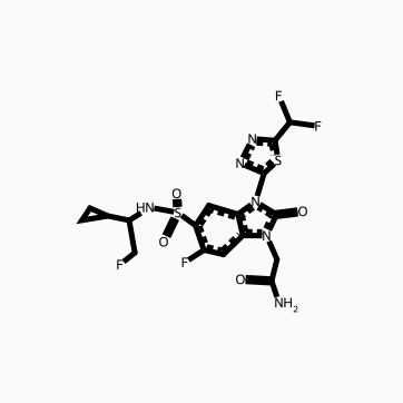 NC(=O)Cn1c(=O)n(-c2nnc(C(F)F)s2)c2cc(S(=O)(=O)NC(CF)C3CC3)c(F)cc21